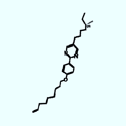 C=CCCCCCCCOc1ccc(-c2ncc(CCCC[C@@H](C)CC)cn2)cc1